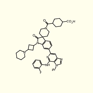 CC(C)n1cnc2cc(-c3ccc4c(c3)N(C3CC(N5CCCCC5)C3)C(=O)C43CCN(C(=O)C4CCC(C(=O)O)CC4)CC3)nc(Nc3ccccc3F)c21